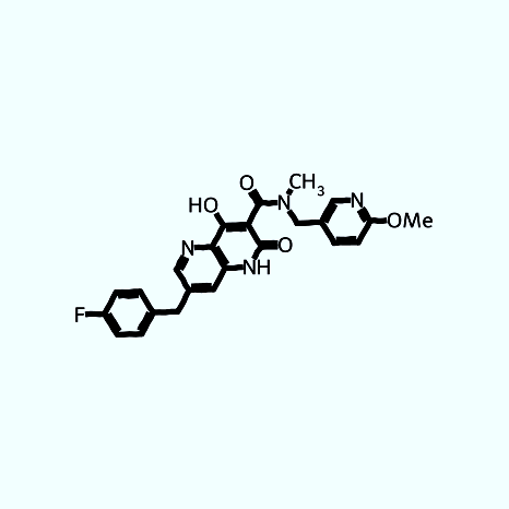 COc1ccc(CN(C)C(=O)c2c(O)c3ncc(Cc4ccc(F)cc4)cc3[nH]c2=O)cn1